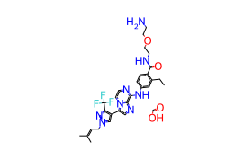 CCc1cc(Nc2nccn3c(-c4cn(CC=C(C)C)nc4C(F)(F)F)cnc23)ccc1C(=O)NCCOCCN.O=CO